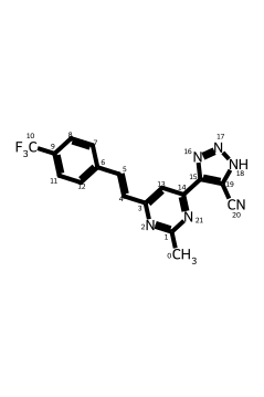 Cc1nc(/C=C/c2ccc(C(F)(F)F)cc2)cc(-c2nn[nH]c2C#N)n1